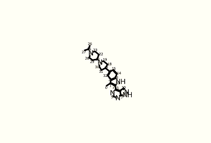 Cc1c(-c2ncnc3[nH]ncc23)[nH]c2ccc(C3CCN(C4CCN(C(C)C)CC4)CC3)cc12